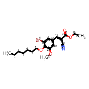 CCCCCCCOc1c(Br)cc(/C=C(\C#N)C(=O)OCC)cc1OC